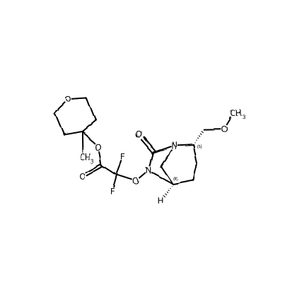 COC[C@@H]1CC[C@@H]2CN1C(=O)N2OC(F)(F)C(=O)OC1(C)CCOCC1